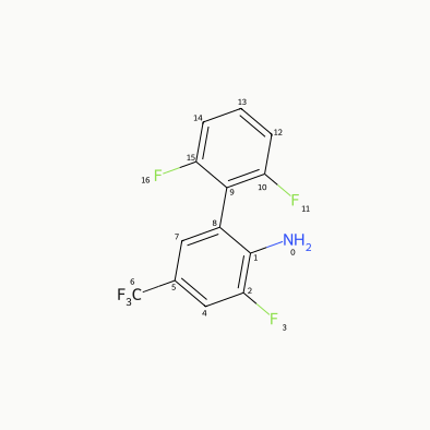 Nc1c(F)cc(C(F)(F)F)cc1-c1c(F)cccc1F